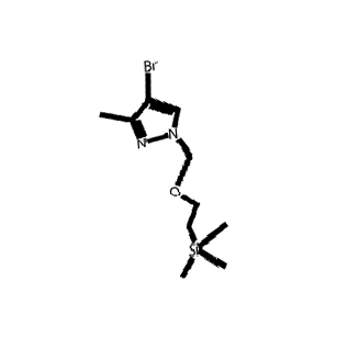 Cc1nn(COCC[Si](C)(C)C)cc1Br